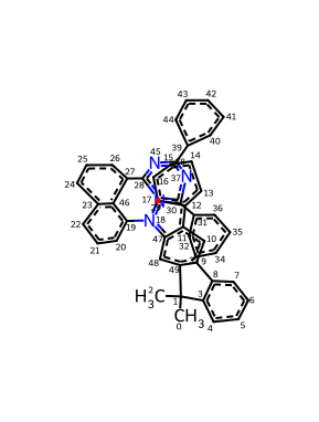 CC1(C)c2ccccc2-c2cc3c4ccccc4n(-c4cccc5cccc(-c6nc(-c7ccccc7)nc(-c7ccccc7)n6)c45)c3cc21